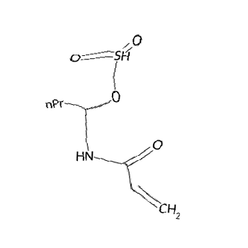 C=CC(=O)NC(CCC)O[SH](=O)=O